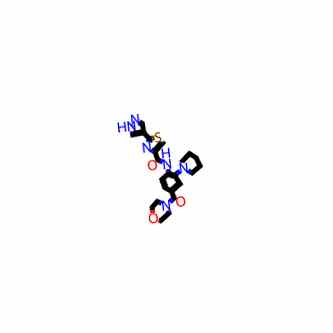 O=C(Nc1ccc(C(=O)N2CCOCC2)cc1N1CCCCC1)c1csc(-c2cn[nH]c2)n1